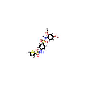 COc1ccc(N(C)S(=O)(=O)c2ccc(NS(=O)(=O)c3cccs3)cc2)c(OC)c1